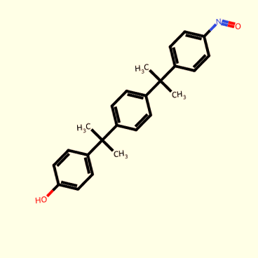 CC(C)(c1ccc(O)cc1)c1ccc(C(C)(C)c2ccc(N=O)cc2)cc1